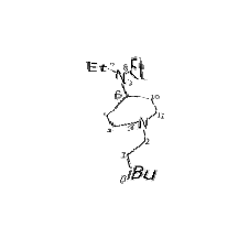 CCC(C)CCN1CCC(N(CC)CC)CC1